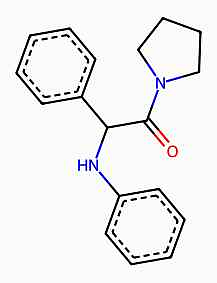 O=C(C(Nc1ccccc1)c1ccccc1)N1CCCC1